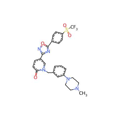 CN1CCN(c2cccc(Cn3cc(-c4noc(-c5ccc(S(=O)(=O)C(F)(F)F)cc5)n4)ccc3=O)c2)CC1